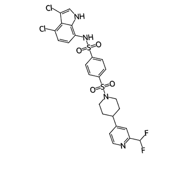 O=S(=O)(Nc1ccc(Cl)c2c(Cl)c[nH]c12)c1ccc(S(=O)(=O)N2CCC(c3ccnc(C(F)F)c3)CC2)cc1